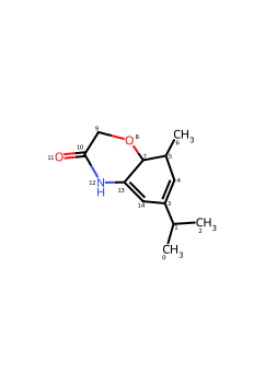 CC(C)C1=CC(C)C2OCC(=O)NC2=C1